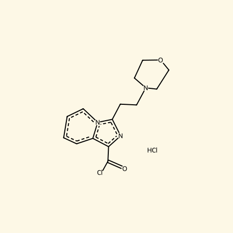 Cl.O=C(Cl)c1nc(CCN2CCOCC2)n2ccccc12